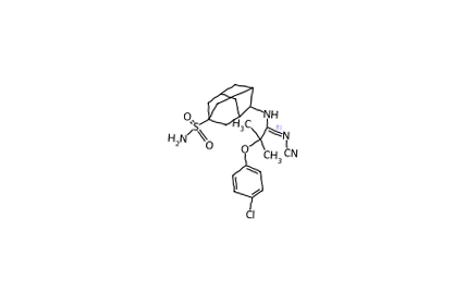 CC(C)(Oc1ccc(Cl)cc1)/C(=N\C#N)NC1C2CC3CC1CC(S(N)(=O)=O)(C3)C2